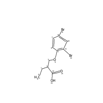 CCC(COc1ccc(Br)cc1Br)C(=O)O